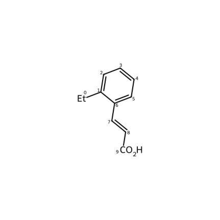 CCc1ccccc1/C=C/C(=O)O